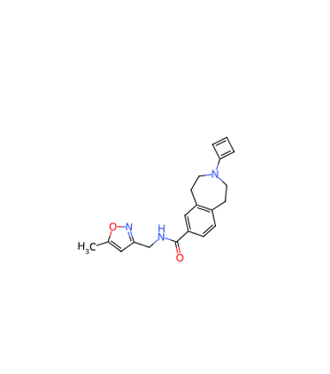 Cc1cc(CNC(=O)c2ccc3c(c2)CCN(C2=CC=C2)CC3)no1